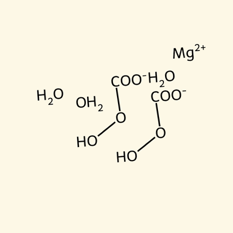 O.O.O.O=C([O-])OO.O=C([O-])OO.[Mg+2]